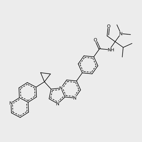 CC(C)C(C=O)(NC(=O)c1ccc(-c2cnc3ncc(C4(c5ccc6ncccc6c5)CC4)n3c2)cc1)N(C)C